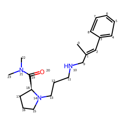 C/C(=C\c1ccccc1)CNCCCN1CCC[C@H]1C(=O)N(C)C